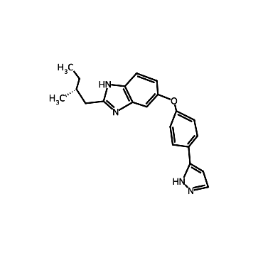 CC[C@@H](C)Cc1nc2cc(Oc3ccc(-c4ccn[nH]4)cc3)ccc2[nH]1